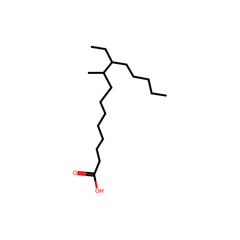 CCCCCC(CC)C(C)CCCCCCCC(=O)O